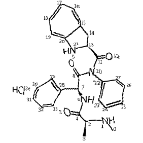 CN[C@@H](C)C(=O)N[C@H](C(=O)N(C(=O)[C@@H]1Cc2ccccc2N1)c1ccccc1)c1ccccc1.Cl